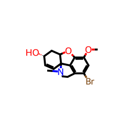 COc1cc(Br)c2c3c1OC1C[C@@H](O)C=CC31N(C)CC2